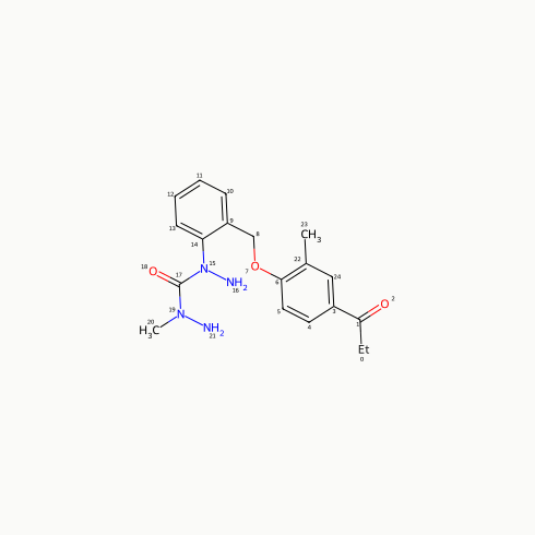 CCC(=O)c1ccc(OCc2ccccc2N(N)C(=O)N(C)N)c(C)c1